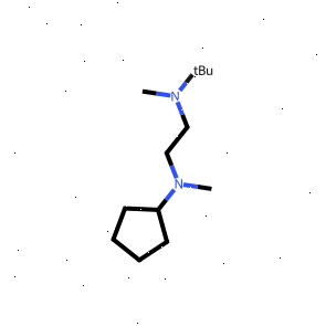 CN(CCN(C)C(C)(C)C)C1CCCC1